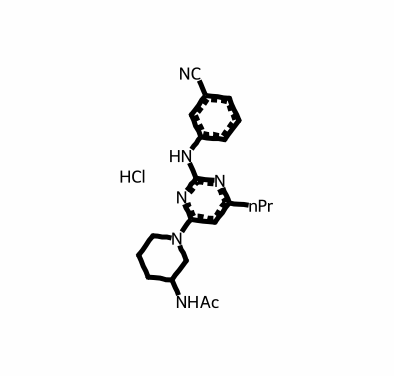 CCCc1cc(N2CCCC(NC(C)=O)C2)nc(Nc2cccc(C#N)c2)n1.Cl